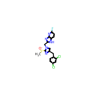 C[S+]([O-])c1nc(Cc2ccc(Cl)cc2Cl)cn1Cc1nc2nc(F)ccc2[nH]1